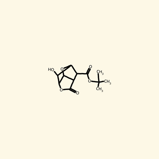 CC(C)(C)OC(=O)C1C2OC3C(OC(=O)C31)C2O